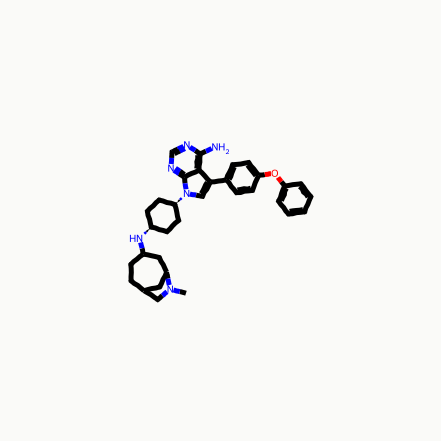 CN1CC2CCC(N[C@H]3CC[C@@H](n4cc(-c5ccc(Oc6ccccc6)cc5)c5c(N)ncnc54)CC3)CC1C2